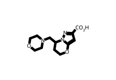 O=C(O)c1cc2n(n1)C(CN1CCOCC1)CCO2